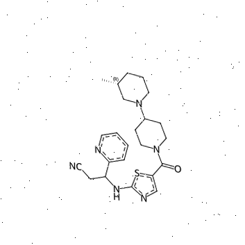 C[C@@H]1CCCN(C2CCN(C(=O)c3cnc(NC(CC#N)c4ccccn4)s3)CC2)C1